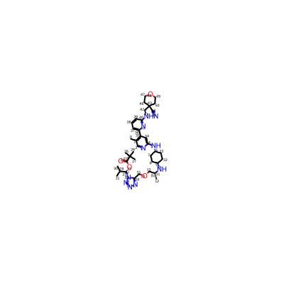 Cc1cnc(N[C@H]2CC[C@H](N[C@@H](C)COCc3nnnn3[C@@H](OC(=O)C(C)(C)C)C(C)C)CC2)cc1-c1cccc(NCC2(C#N)CCOCC2)n1